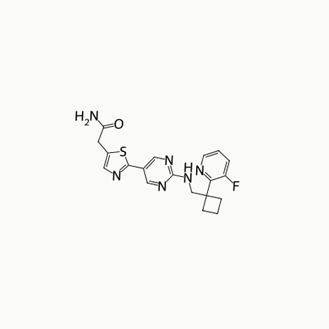 NC(=O)Cc1cnc(-c2cnc(NCC3(c4ncccc4F)CCC3)nc2)s1